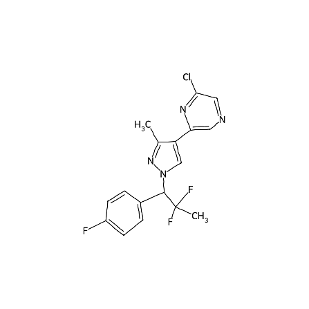 Cc1nn(C(c2ccc(F)cc2)C(C)(F)F)cc1-c1cncc(Cl)n1